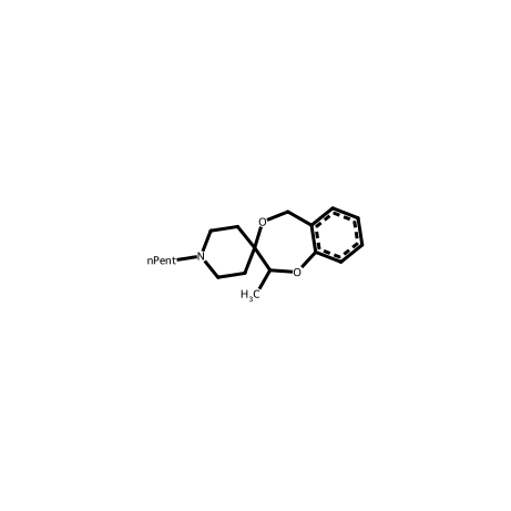 CCCCCN1CCC2(CC1)OCc1ccccc1OC2C